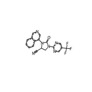 N#CC1CN(c2ncc(C(F)(F)F)cn2)C(=O)N1c1cncc2ccccc12